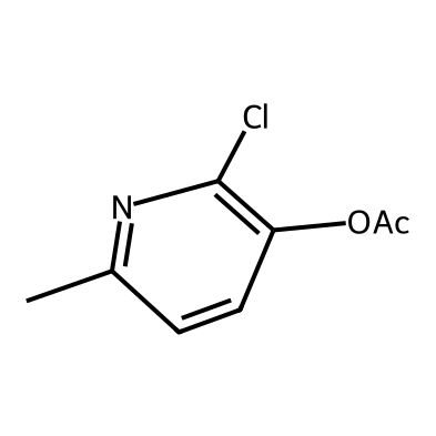 CC(=O)Oc1ccc(C)nc1Cl